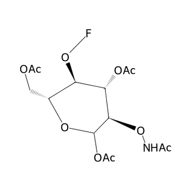 CC(=O)NO[C@H]1C(OC(C)=O)O[C@H](COC(C)=O)[C@@H](OF)[C@@H]1OC(C)=O